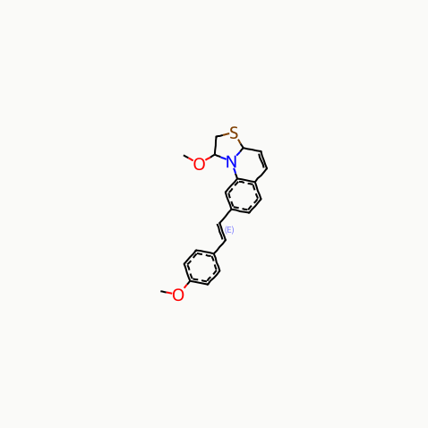 COc1ccc(/C=C/c2ccc3c(c2)N2C(OC)CSC2C=C3)cc1